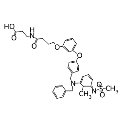 CC1C(N(Cc2ccccc2)Cc2ccc(Oc3cccc(OCCCC(=O)NCCC(=O)O)c3)cc2)=CC=CC1=NS(C)(=O)=O